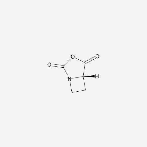 O=C1OC(=O)N2CC[C@@H]12